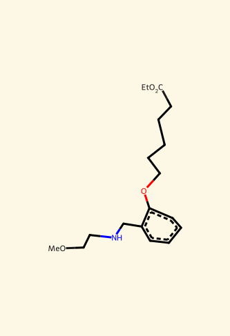 CCOC(=O)CCCCCOc1ccccc1CNCCOC